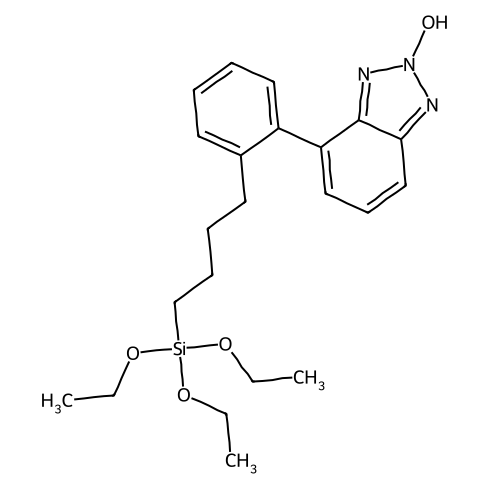 CCO[Si](CCCCc1ccccc1-c1cccc2nn(O)nc12)(OCC)OCC